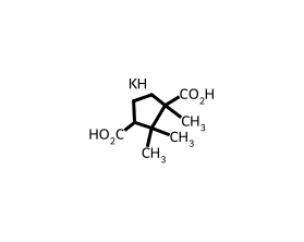 CC1(C(=O)O)CCC(C(=O)O)C1(C)C.[KH]